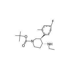 CCN[C@@H]1CCN(C(=O)OC(C)(C)C)C[C@H]1c1ccc(F)cc1C